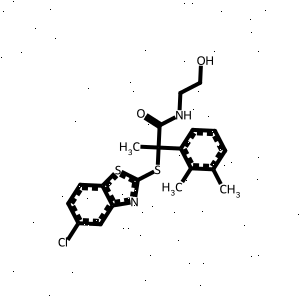 Cc1cccc(C(C)(Sc2nc3cc(Cl)ccc3s2)C(=O)NCCO)c1C